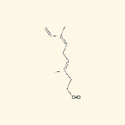 C=C/C(C)=C\C/C=C(\C)CCC=O